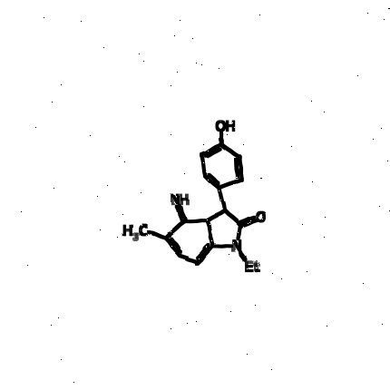 CCN1C(=O)C(c2ccc(O)cc2)C2C(=N)C(C)=CC=C21